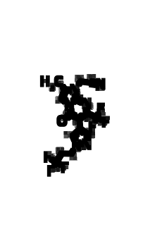 Cc1cn2c(=O)c(-c3cnn(CCC(F)(F)F)c3)c(C(F)(F)F)nc2n1CC#N